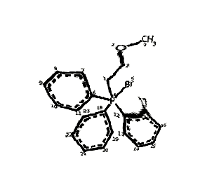 COCCP(Br)(c1ccccc1)(c1ccccc1)c1ccccc1